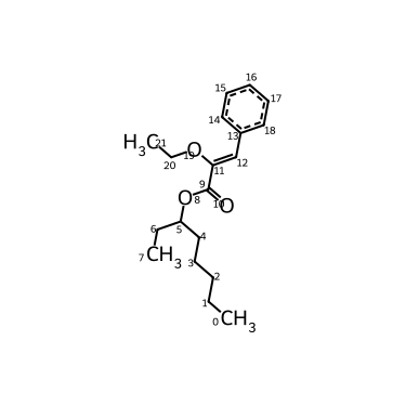 CCCCCC(CC)OC(=O)C(=Cc1ccccc1)OCC